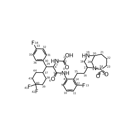 O=C(O)NC(C(=O)Nc1cccc(F)c1CCC1CNC2CCCS(=O)(=O)N1C2)C(c1ccc(F)cc1)C1CCC(F)(F)CC1